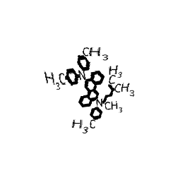 CCC(C)CCC(C)N(c1ccc(C)cc1)c1cc2c3ccccc3c(N(c3ccc(C)cc3)c3ccc(C)cc3)cc2c2ccccc12